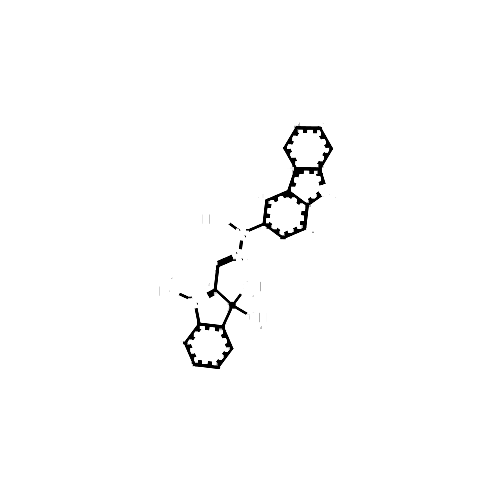 CN(N=CC1=[N+](C)c2ccccc2C1(C)C)c1ccc2sc3ccccc3c2c1